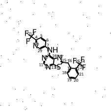 FC(F)(F)c1ccc(Nc2ncnc3sc(Cc4ccccc4C(F)(F)F)nc23)cn1